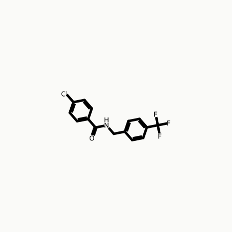 O=C(NCc1ccc(C(F)(F)F)cc1)c1ccc(Cl)cc1